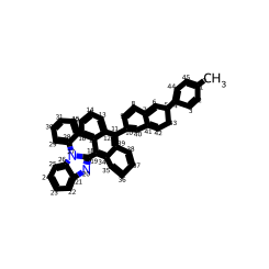 Cc1ccc(C2C=c3ccc(-c4c5ccccc5c(-c5nc6ccccc6n5-c5ccccc5)c5ccccc45)cc3=CC2)cc1